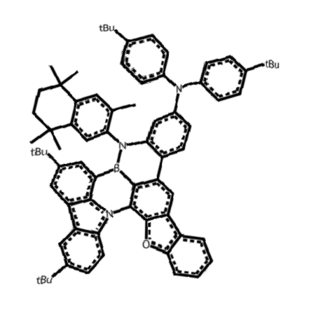 Cc1cc2c(cc1N1B3c4c(cc5c(oc6ccccc65)c4-n4c5ccc(C(C)(C)C)cc5c5cc(C(C)(C)C)cc3c54)-c3ccc(N(c4ccc(C(C)(C)C)cc4)c4ccc(C(C)(C)C)cc4)cc31)C(C)(C)CCC2(C)C